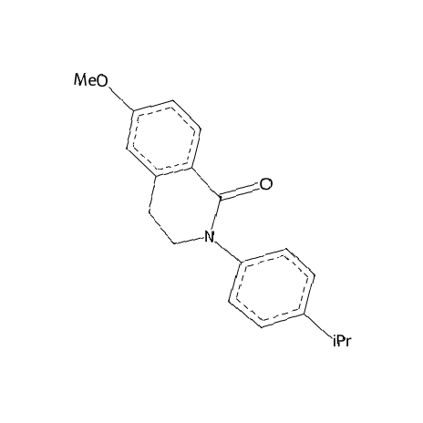 COc1ccc2c(c1)CCN(c1ccc(C(C)C)cc1)C2=O